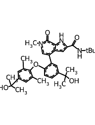 Cc1cc(C(C)(C)O)cc(C)c1Oc1ccc(C(C)(C)O)cc1-c1cn(C)c(=O)c2[nH]c(C(=O)NC(C)(C)C)cc12